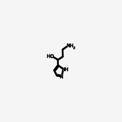 NCCC(O)c1ccn[nH]1